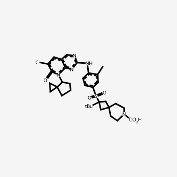 Cc1cc(S(=O)(=O)C2(C(C)(C)C)CC3(CCN(C(=O)O)CC3)C2)ccc1Nc1ncc2cc(Cl)c(=O)n(C3CCCC34CC4)c2n1